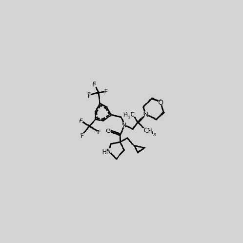 CC(C)(CN(Cc1cc(C(F)(F)F)cc(C(F)(F)F)c1)C(=O)C1(CC2CC2)CCNC1)N1CCOCC1